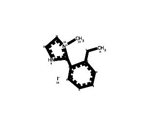 CCc1ccccc1-c1[nH]cc[n+]1C.[I-]